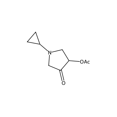 CC(=O)OC1CN(C2CC2)CC1=O